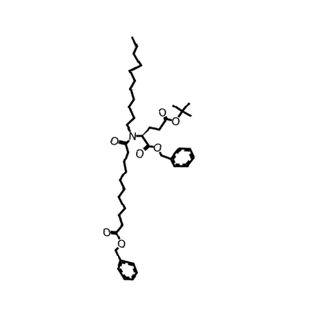 CCCCCCCCCCCN(C(=O)CCCCCCCCCC(=O)OCc1ccccc1)[C@@H](CCC(=O)OC(C)(C)C)C(=O)OCc1ccccc1